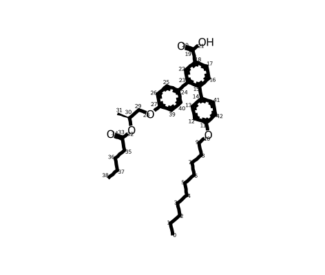 CCCCCCCCCCOc1ccc(-c2ccc(C(=O)O)cc2-c2ccc(OC[C@H](C)OC(=O)CCCC)cc2)cc1